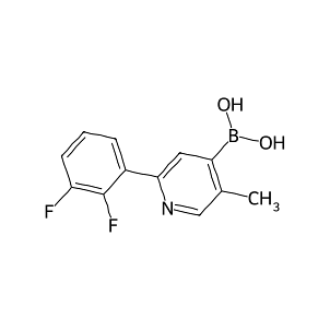 Cc1cnc(-c2cccc(F)c2F)cc1B(O)O